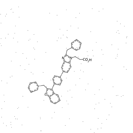 O=C(O)CCn1c(Cc2ccccc2)nc2cc(-c3ccc(-c4c(Cc5ccccc5)oc5ccccc45)cc3)ccc21